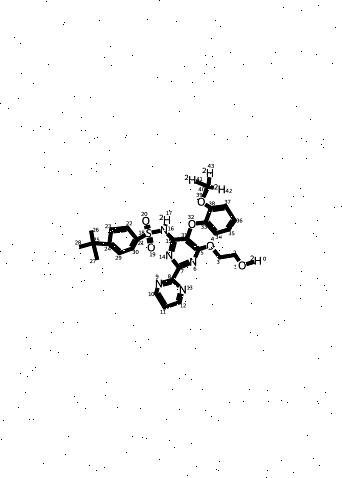 [2H]OCCOc1nc(-c2ncccn2)nc(N([2H])S(=O)(=O)c2ccc(C(C)(C)C)cc2)c1Oc1ccccc1OC([2H])([2H])[2H]